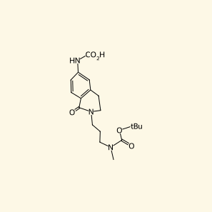 CN(CCCN1CCc2cc(NC(=O)O)ccc2C1=O)C(=O)OC(C)(C)C